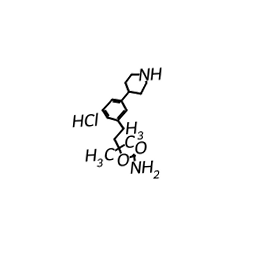 CC(C)(CCc1cccc(C2CCNCC2)c1)OC(N)=O.Cl